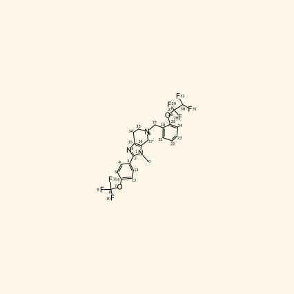 Cn1c(-c2ccc(OC(F)(F)F)cc2)nc2c1CN(Cc1ccccc1OC(F)(F)C(F)F)CC2